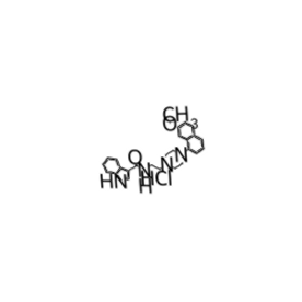 COc1ccc2cccc(N3CCN(CCNC(=O)c4c[nH]c5ccccc45)CC3)c2c1.Cl